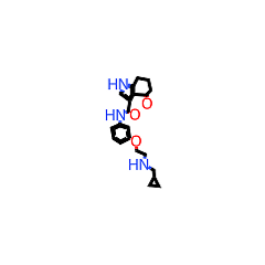 O=C(Nc1cccc(OCCNCC2CC2)c1)c1c[nH]c2c1C(=O)CCC2